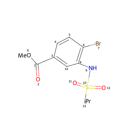 COC(=O)c1ccc(Br)c(NS(=O)(=O)C(C)C)c1